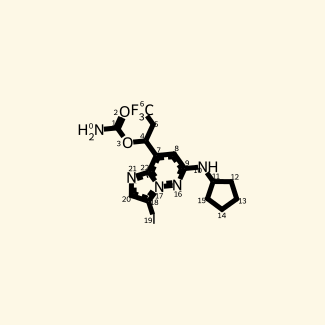 NC(=O)OC(CC(F)(F)F)c1cc(NC2CCCC2)nn2c(I)cnc12